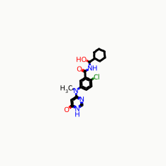 CN(c1ccc(Cl)c(C(=O)NC(O)C2CCCCC2)c1)c1cc(=O)[nH]cn1